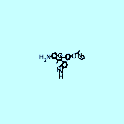 CC1=C(c2cccc3[nH]ncc23)C(c2ccc(OCC(C)N3CCCC3)cc2)Oc2ccc(N)cc21